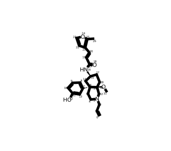 C=CCN1CC[C@@]2(c3cccc(O)c3)C[C@@H](NC(=O)/C=C/c3ccoc3C)CC[C@]2(OC)C1